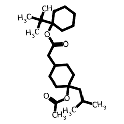 CC(=O)OC1(CC(C)C)CCC(CC(=O)OC2(C(C)(C)C)CCCCC2)CC1